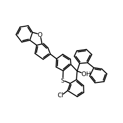 OC1(c2ccccc2-c2ccccc2)c2ccc(-c3ccc4c(c3)oc3ccccc34)cc2Sc2c(Cl)cccc21